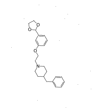 c1ccc(CC2CCN(CCOc3cccc(C4OCCO4)c3)CC2)cc1